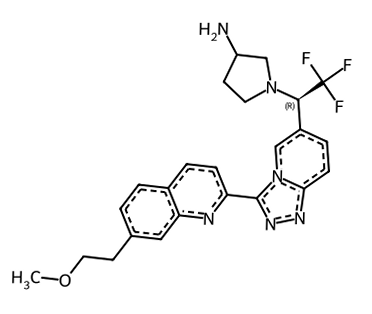 COCCc1ccc2ccc(-c3nnc4ccc([C@@H](N5CCC(N)C5)C(F)(F)F)cn34)nc2c1